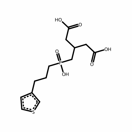 O=C(O)CC(CC(=O)O)CP(=O)(O)CCCc1ccsc1